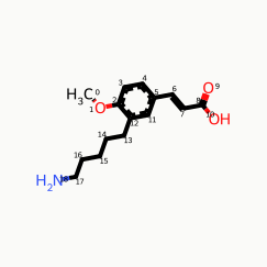 COc1ccc(C=CC(=O)O)cc1CCCCCN